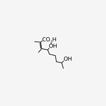 CC(C(=O)O)=C(C)C(O)CCCC(C)O